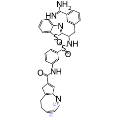 N=C(N)c1cccc(CC(NS(=O)(=O)c2cccc(NC(=O)C3=CC4=C(CC/C=C\C=N/4)C3)c2)c2nc3ccccc3s2)c1